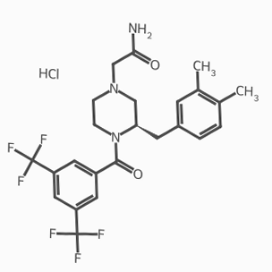 Cc1ccc(C[C@@H]2CN(CC(N)=O)CCN2C(=O)c2cc(C(F)(F)F)cc(C(F)(F)F)c2)cc1C.Cl